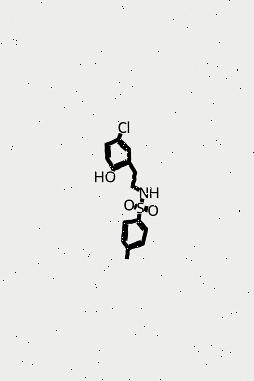 Cc1ccc(S(=O)(=O)NCCc2cc(Cl)ccc2O)cc1